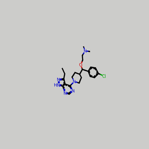 CCc1n[nH]c2ncnc(N3CCC(C(OCCN(C)C)c4ccc(Cl)cc4)CC3)c12